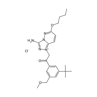 CCCCOc1ccc2n(n1)c(N)n[n+]2CC(=O)c1cc(COC)cc(C(C)(C)C)c1.[Cl-]